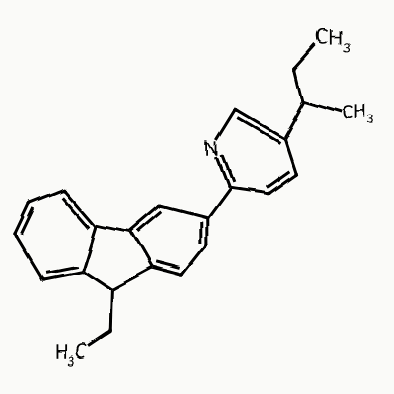 CCC(C)c1ccc(-c2ccc3c(c2)-c2ccccc2C3CC)nc1